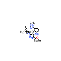 CNC(=O)c1nnc(N2CC(C)(C)C2)cc1Nc1cccc(-c2ncn(C)n2)c1OC